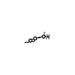 CCCc1ccc2c(c1)Cc1cc(C#Cc3ccc(OC(F)(F)F)c(F)c3)ccc1-2